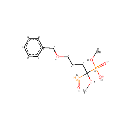 CCOC(CCCOCc1ccccc1)([PH2]=O)P(=O)(O)OC(C)CC